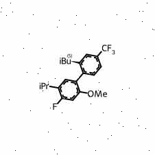 CC[C@H](C)c1cc(C(F)(F)F)ccc1-c1cc(C(C)C)c(F)cc1OC